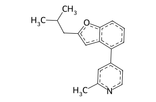 Cc1cc(-c2cccc3oc(CC(C)C)cc23)ccn1